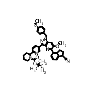 COc1ccc(Cn2nc(-c3ccc(C4CCCCN4C(=O)OC(C)(C)C)nc3)c3nc(-c4cccc5c4CCC5C#N)c(OC)cc32)cc1